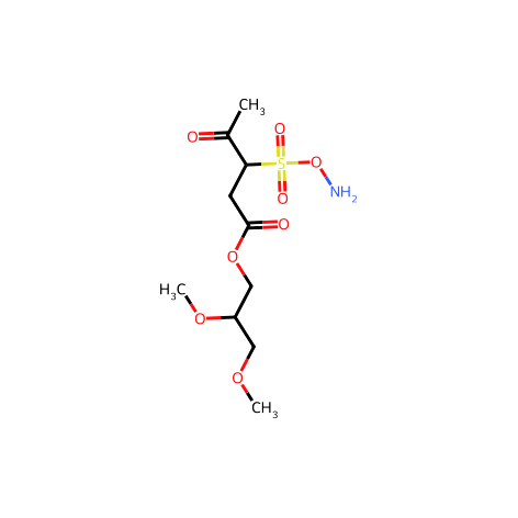 COCC(COC(=O)CC(C(C)=O)S(=O)(=O)ON)OC